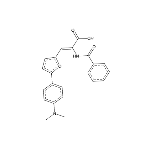 CN(C)c1ccc(-c2ccc(C=C(NC(=O)c3ccccc3)C(=O)O)o2)cc1